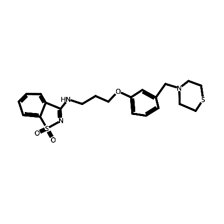 O=S1(=O)N=C(NCCCOc2cccc(CN3CCSCC3)c2)c2ccccc21